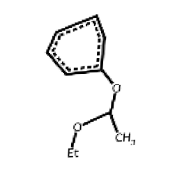 [CH2]COC(C)Oc1ccccc1